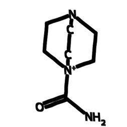 NC(=O)[N+]12CCN(CC1)CC2